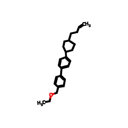 C=CCCC1CCC(c2ccc(-c3ccc(COCC)cc3)cc2)CC1